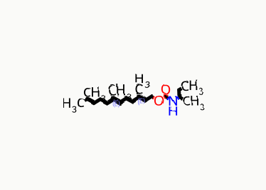 CCC(C)NC(=O)OC/C=C(\C)CC/C=C(\C)CCC=C(C)C